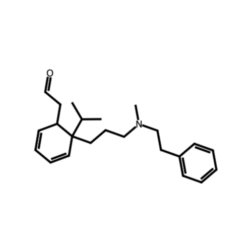 CC(C)C1(CCCN(C)CCc2ccccc2)C=CC=CC1CC=O